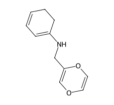 C1=CCCC(NCC2=COC=CO2)=C1